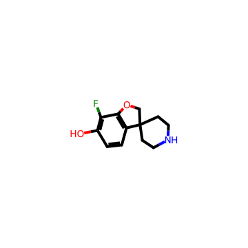 Oc1ccc2c(c1F)OCC21CCNCC1